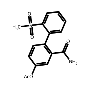 CC(=O)Oc1ccc(-c2ccccc2S(C)(=O)=O)c(C(N)=O)c1